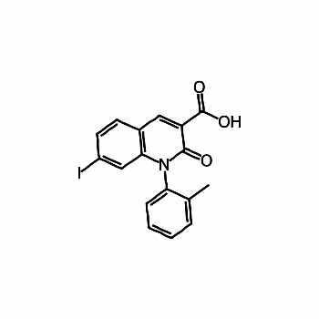 Cc1ccccc1-n1c(=O)c(C(=O)O)cc2ccc(I)cc21